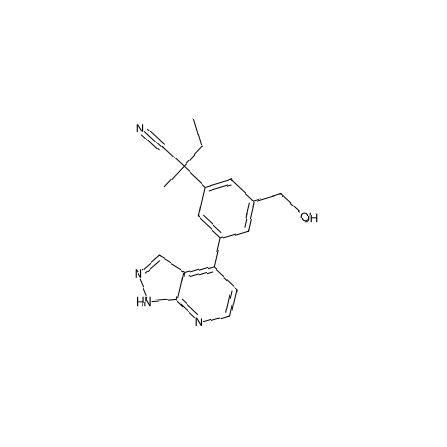 CCC(C)(C#N)c1cc(CO)cc(-c2ccnc3[nH]ncc23)c1